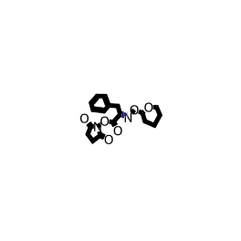 O=C(ON1C(=O)CCC1=O)/C(Cc1ccccc1)=N/OC1CCCCO1